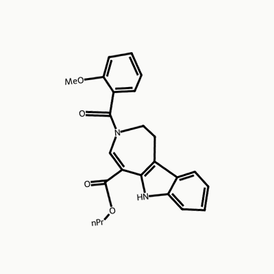 CCCOC(=O)C1=CN(C(=O)c2ccccc2OC)CCc2c1[nH]c1ccccc21